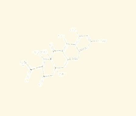 NC(=O)C1=C(O)C2(O)C(=O)c3c(cc4cc(O)cc(O)c4c3O)CC2(O)CC1=O